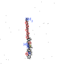 Cc1ccccc1C(=O)N1CCc2cc(-c3nc(NC(=O)Cc4cccc(OCCOCCOCCOCCOCCN)c4)sc3C)ccc21